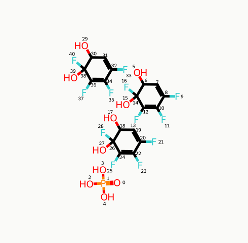 O=P(O)(O)O.OC1C=C(F)C(F)=C(F)C1(O)F.OC1C=C(F)C(F)=C(F)C1(O)F.OC1C=C(F)C(F)=C(F)C1(O)F